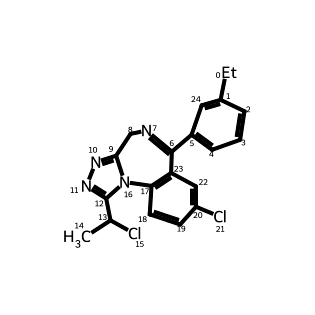 CCc1cccc(C2=NCc3nnc(C(C)Cl)n3-c3ccc(Cl)cc32)c1